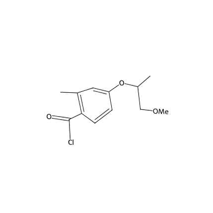 COCC(C)Oc1ccc(C(=O)Cl)c(C)c1